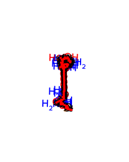 CCCCC(C)[C@]1(C)SC/C(=N\OCC(=O)N[C@H](C(=O)N[C@@H](CCCNC(N)=O)C(=O)Nc2ccc(COC(=O)NC/C(N)=C/NCCOCCOCCOCCOCCOCCOCCOCCSCc3c(OC)ccc4c5c([nH]c34)[S+]([O-])C[C@H]3NC(=O)CNC(=O)[C@H]([C@@H](C)CC)NC(=O)CNC(=O)[C@H](C5)NC(=O)[C@H]([C@@H](C)[C@@H](O)CO)NC(=O)[C@@H]4C[C@@H](O)CN4C(=O)[C@H](CC(N)=O)NC3=O)cc2)C(C)C)CSC1(C)C